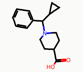 O=C(O)C1CCN(C(c2ccccc2)C2CC2)CC1